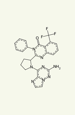 Nc1nc(N2CCCC2c2nc3cccc(C(F)(F)F)c3c(=O)n2-c2ccccc2)c2nccn2n1